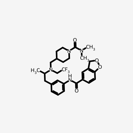 CC(Cc1cccc(NC(=O)c2ccc3c(c2)COO3)c1)N(CC1CCN(C(=O)N(C)C)CC1)CC(F)(F)F